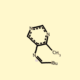 CCC(C)/C=N\c1cncnc1C